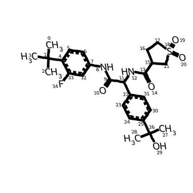 CC(C)(C)c1ccc(NC(=O)C(NC(=O)C2CCS(=O)(=O)C2)c2ccc(C(C)(C)O)cc2)cc1F